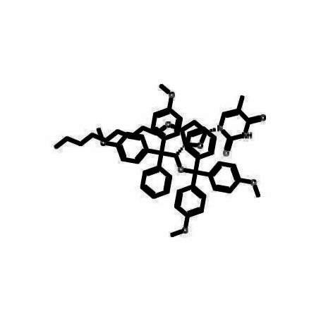 CCCCCCCCCO[C@H]1C[C@H](n2cc(C)c(=O)[nH]c2=O)O[C@@H]1C(OC(c1ccccc1)(c1ccc(OC)cc1)c1ccc(OC)cc1)C(c1ccccc1)(c1ccc(OC)cc1)c1ccc(OC)cc1